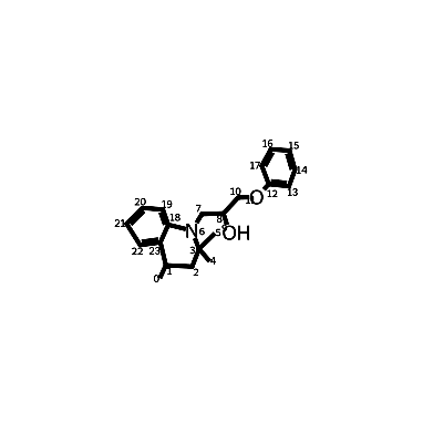 CC1CC(C)(C)N(CC(O)COc2ccccc2)c2ccccc21